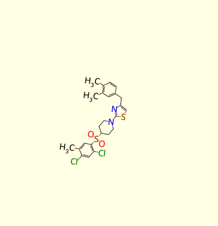 Cc1ccc(Cc2csc(N3CCC(S(=O)(=O)c4cc(C)c(Cl)cc4Cl)CC3)n2)cc1C